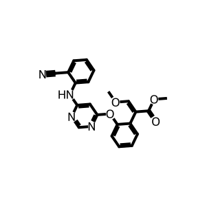 CO/C=C(/C(=O)OC)c1ccccc1Oc1cc(Nc2ccccc2C#N)ncn1